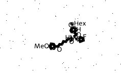 CCCCCCOc1ccc([C@@H](O)[C@@H](CN2CC[C@@H](F)C2)NC(=O)CCCCCC(=O)c2ccc(OC)cc2)cc1